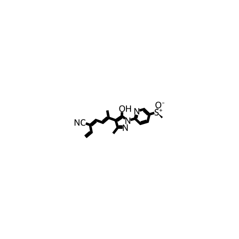 C=C/C(C#N)=C\C=C(/C)c1c(C)nn(-c2ccc([S@+](C)[O-])cn2)c1O